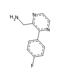 NCc1nccnc1-c1ccc(F)cc1